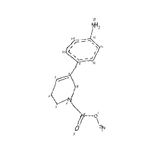 CC(C)(C)OC(=O)N1CCC=C(c2ccc(N)cc2)C1